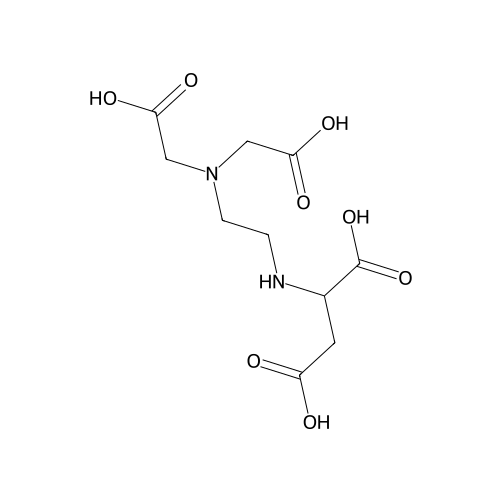 O=C(O)CC(NCCN(CC(=O)O)CC(=O)O)C(=O)O